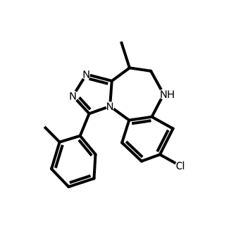 Cc1ccccc1-c1nnc2n1-c1ccc(Cl)cc1NCC2C